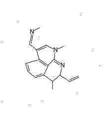 C=CC1N=C2c3c(cccc3C1C)C(/C=N\C)=CN2C